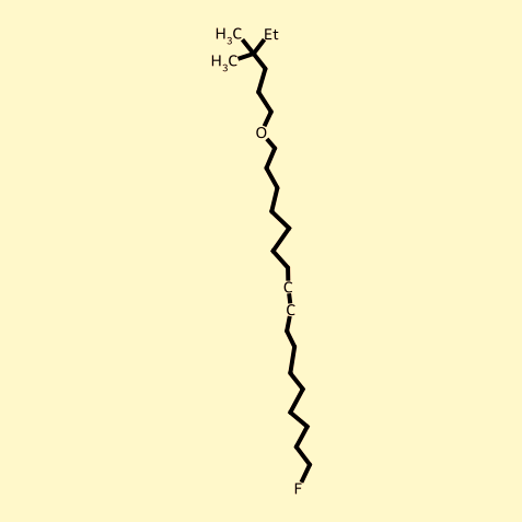 CCC(C)(C)CCCOCCCCCCCCCCCCCCCCCF